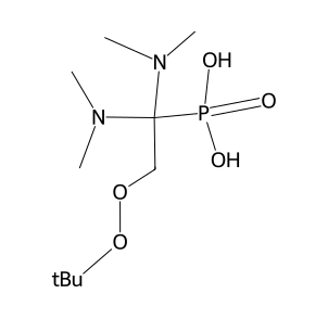 CN(C)C(COOC(C)(C)C)(N(C)C)P(=O)(O)O